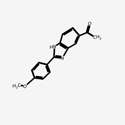 COc1ccc(-c2nc3cc(C(C)=O)ccc3[nH]2)cc1